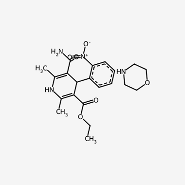 C1COCCN1.CCOC(=O)C1=C(C)NC(C)=C(C(N)=O)C1c1ccccc1[N+](=O)[O-]